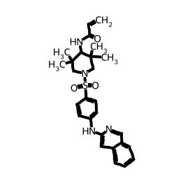 C=CC(=O)NC1C(C)(C)CN(S(=O)(=O)c2ccc(Nc3cc4ccccc4cn3)cc2)CC1(C)C